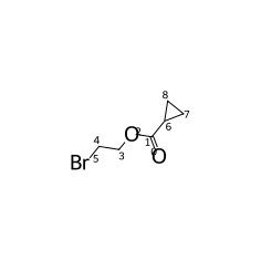 O=C(OCCBr)C1CC1